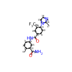 Cc1ccc(NC(=O)c2ccc(-n3ccnc3C)c(C(F)(F)F)c2)cc1C(N)=O